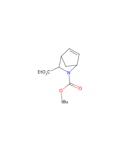 CCOC(=O)C1C2C=CC(C2)N1C(=O)OC(C)(C)C